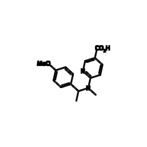 COc1ccc(C(C)N(C)c2ccc(C(=O)O)cn2)cc1